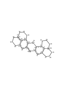 c1c2c3c(c4c1N=c1cc5c6c(c1O4)CCC[N+]=6CCC5)CCCN3CCC2